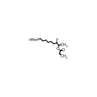 C=CC(=O)OC(C)C(F)CCCCCCCCCCCCCCC